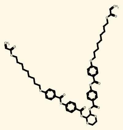 C=CC(=O)OCCCCCCCCCOc1ccc(C(=O)Oc2ccc(C(=O)OC3OCCOC3OC(=O)c3ccc(OC(=O)c4ccc(OCCCCCCCCCOC(=O)C=C)cc4)cc3)cc2)cc1